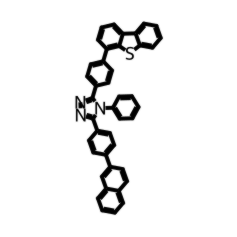 c1ccc(-n2c(-c3ccc(-c4ccc5ccccc5c4)cc3)nnc2-c2ccc(-c3cccc4c3sc3ccccc34)cc2)cc1